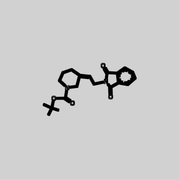 CC(C)(C)OC(=O)N1CCCC(=CCN2C(=O)c3ccccc3C2=O)C1